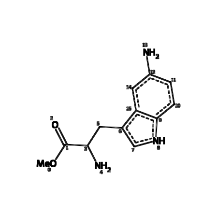 COC(=O)C(N)Cc1c[nH]c2ccc(N)cc12